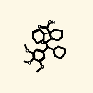 COc1cc([C@@H](C(=O)N2CCCC[C@@]2(C(=O)O)C2C=CCCC2)C2CCCCC2)cc(OC)c1OC